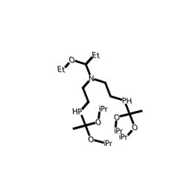 CCOC(CC)N(CCPC(C)(OC(C)C)OC(C)C)CCPC(C)(OC(C)C)OC(C)C